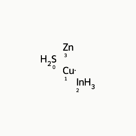 S.[Cu].[InH3].[Zn]